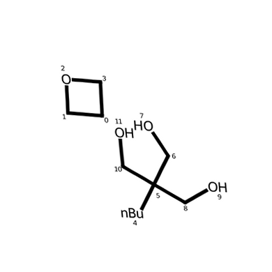 C1COC1.CCCCC(CO)(CO)CO